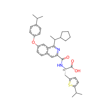 CC(C)c1ccc(Oc2ccc3cc(C(=O)N[C@@H](Cc4ccc(C(C)C)s4)C(=O)O)nc(C(C)C4CCCC4)c3c2)cc1